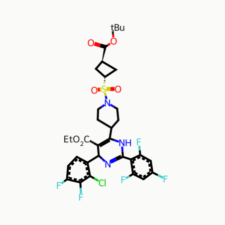 CCOC(=O)C1=C(C2CCN(S(=O)(=O)[C@H]3C[C@H](C(=O)OC(C)(C)C)C3)CC2)NC(c2c(F)cc(F)cc2F)=NC1c1ccc(F)c(F)c1Cl